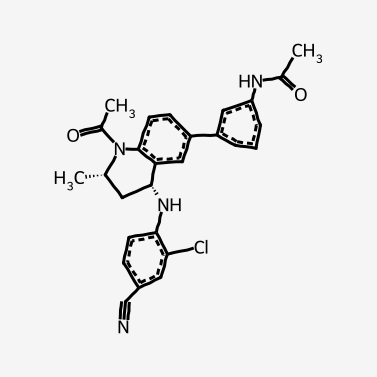 CC(=O)Nc1cccc(-c2ccc3c(c2)[C@H](Nc2ccc(C#N)cc2Cl)C[C@H](C)N3C(C)=O)c1